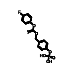 O=P(O)(O)Oc1ccc(COC(=S)Oc2ccc(F)cc2)cc1